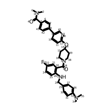 CN(C)C(=O)c1ccc(-c2ccc(OC3CCN(C(=O)c4cc(F)ccc4NCc4ccc(N(C)C)cc4)CC3)nc2)cc1